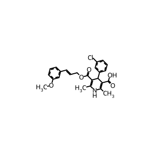 COc1cccc(C=CCOC(=O)C2=C(C)NC(C)=C(C(=O)O)C2c2cccc(Cl)c2)c1